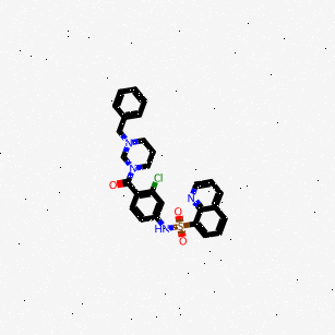 O=C(c1ccc(NS(=O)(=O)c2cccc3cccnc23)cc1Cl)N1CCCN(Cc2ccccc2)C1